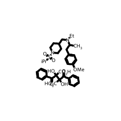 CCN(CC1CCN(S(=O)(=O)C(C)C)CC1)C(C)Cc1ccc(OC)cc1.O=C(O)C(O)(C(=O)c1ccccc1)C(O)(C(=O)O)C(=O)c1ccccc1